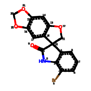 O=C1Nc2c(Br)cccc2C12COc1cc3c(cc12)OCO3